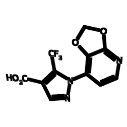 O=C(O)c1cnn(-c2ccnc3c2OCO3)c1C(F)(F)F